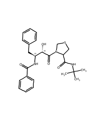 CC(C)(C)NC(=O)C1CSCN1C(=O)[C@@H](O)[C@H](Cc1ccccc1)NC(=O)c1ccccc1